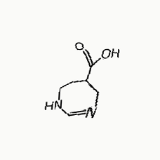 O=C(O)C1CN=CNC1